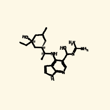 CC[C@]1(O)CC(C)C[C@H]([C@H](C)Nc2c(C(O)N=C(N)N)cnc3[nH]ccc23)C1